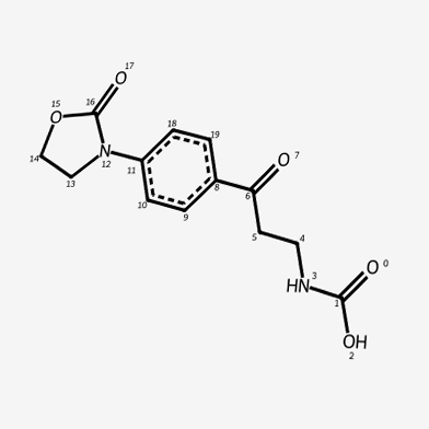 O=C(O)NCCC(=O)c1ccc(N2CCOC2=O)cc1